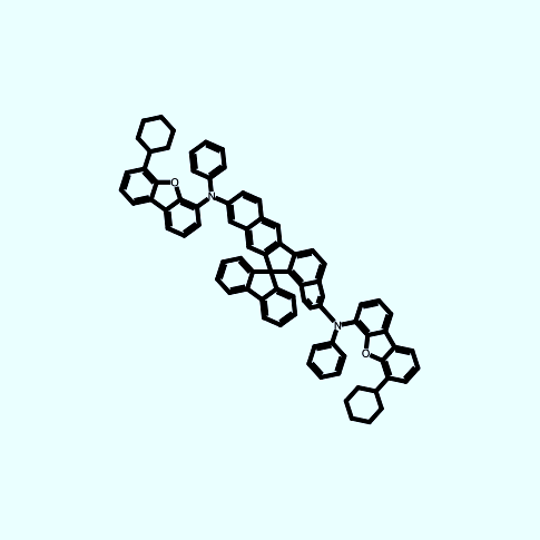 c1ccc(N(c2ccc3cc4c(cc3c2)C2(c3ccccc3-c3ccccc32)c2c-4ccc3cc(N(c4ccccc4)c4cccc5c4oc4c(C6CCCCC6)cccc45)ccc23)c2cccc3c2oc2c(C4CCCCC4)cccc23)cc1